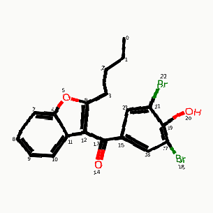 CCCCc1oc2ccccc2c1C(=O)c1cc(Br)c(O)c(Br)c1